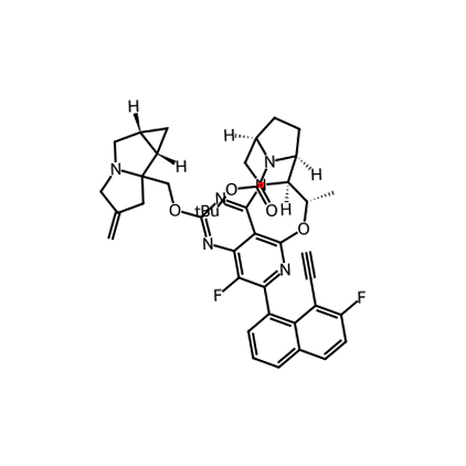 C#Cc1c(F)ccc2cccc(-c3nc4c5c(nc(OCC67CC(=C)CN6C[C@@H]6C[C@@H]67)nc5c3F)N3C[C@H]5CC[C@@H]([C@H]3[C@H](C)O4)N5C(=O)OC(C)(C)C)c12